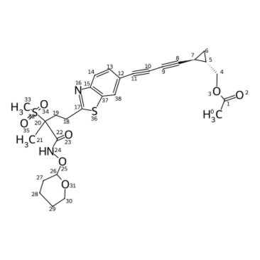 CC(=O)OC[C@H]1C[C@@H]1C#CC#Cc1ccc2nc(CCC(C)(C(=O)NOC3CCCCO3)S(C)(=O)=O)sc2c1